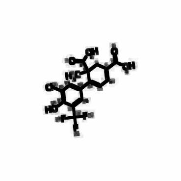 CC1(C(=O)O)CC(C(=O)O)=CC=C1c1cc(Cl)c(O)c(C(F)(F)F)c1